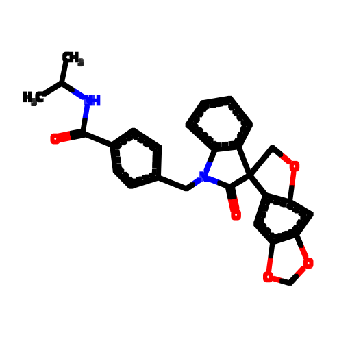 CC(C)NC(=O)c1ccc(CN2C(=O)C3(COc4cc5c(cc43)OCO5)c3ccccc32)cc1